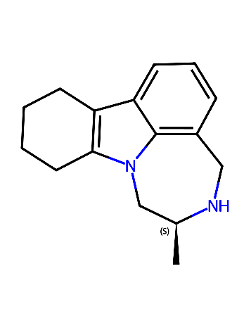 C[C@H]1Cn2c3c(c4cccc(c42)CN1)CCCC3